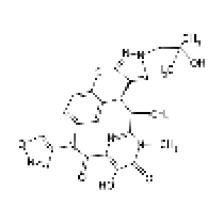 C[C@@H](c1nc(C(=O)Nc2cnoc2)c(O)c(=O)n1C)[C@H](c1cnn(CC(C)(C)O)c1)c1ccccc1Cl